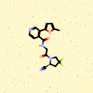 Cc1ccc(-c2cnccc2C(=O)NCC(=O)N2CC(F)(F)C[C@H]2C#N)o1